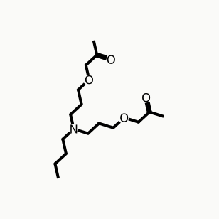 CCCCN(CCCOCC(C)=O)CCCOCC(C)=O